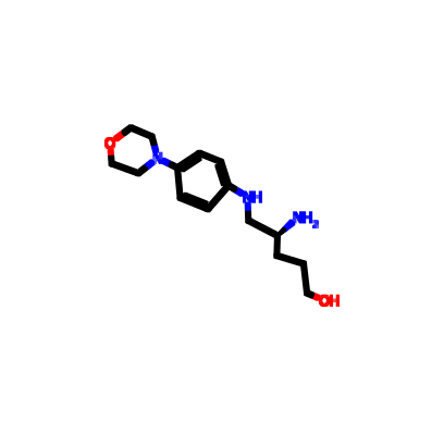 N[C@@H](CCCO)CNc1ccc(N2CCOCC2)cc1